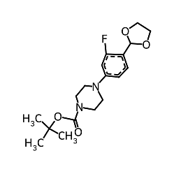 CC(C)(C)OC(=O)N1CCN(c2ccc(C3OCCO3)c(F)c2)CC1